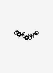 CN(CC1COC1)c1nc2cc(NC(=O)c3ccc4c(c3)CCO4)ccc2o1